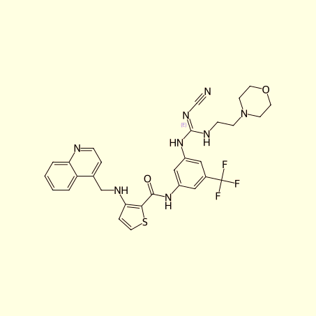 N#C/N=C(\NCCN1CCOCC1)Nc1cc(NC(=O)c2sccc2NCc2ccnc3ccccc23)cc(C(F)(F)F)c1